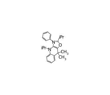 CC(C)c1oc2c([n+]1-c1ccccc1)N(C(C)C)c1ccccc1C2(C)C